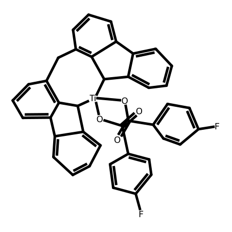 O=C([O][Ti]1([O]C(=O)c2ccc(F)cc2)[CH]2c3ccccc3-c3cccc(c32)Cc2cccc3c2[CH]1c1ccccc1-3)c1ccc(F)cc1